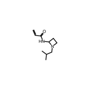 C=CC(=O)NC1CCN1CC(C)C